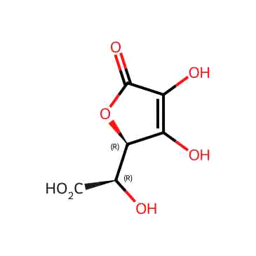 O=C1O[C@H]([C@@H](O)C(=O)O)C(O)=C1O